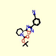 CC(C)(C)OC(=O)N1CCCC[C@H]1c1nc(-c2cccc(C#N)c2)no1